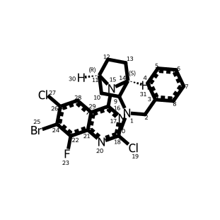 CN(Cc1ccccc1)C1C[C@H]2CC[C@@H]1N2c1nc(Cl)nc2c(F)c(Br)c(Cl)cc12